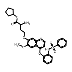 COc1cc2c(Oc3ccccc3NS(=O)(=O)c3ccccc3)ccnc2cc1OCCC(N)C(=O)OC1CCCC1